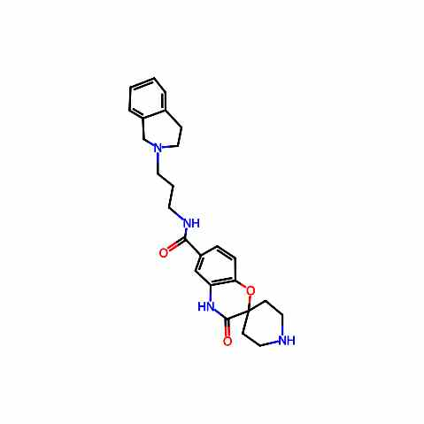 O=C(NCCCN1CCc2ccccc2C1)c1ccc2c(c1)NC(=O)C1(CCNCC1)O2